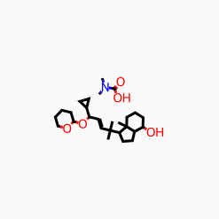 CC(C)(C=CC(OC1CCCCO1)C1CC1)C1CCC2C(O)CCCC21C.CN(C)C(=O)O